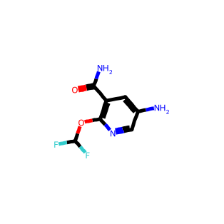 NC(=O)c1cc(N)cnc1OC(F)F